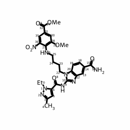 CCn1nc(C)cc1C(=O)Nc1nc2cc(C(N)=O)ccc2n1CCCCNc1c(OC)cc(C(=O)OC)cc1[N+](=O)[O-]